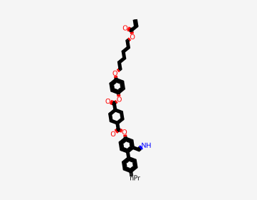 C=CC(=O)OCCCCCCOc1ccc(OC(=O)C2CCC(C(=O)Oc3ccc(-c4ccc(CCC)cc4)c(C=N)c3)CC2)cc1